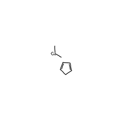 C1=CCC=C1.[CH3][Ga][CH3]